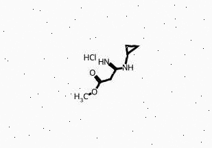 COC(=O)CC(=N)NC1CC1.Cl